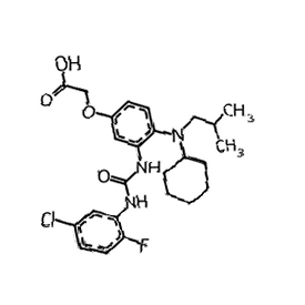 CC(C)CN(c1ccc(OCC(=O)O)cc1NC(=O)Nc1cc(Cl)ccc1F)C1CCCCC1